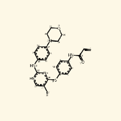 C=CC(=O)Nc1ccc(Sc2nc(Nc3ccc(N4CCOCC4)cc3)ncc2Br)cc1